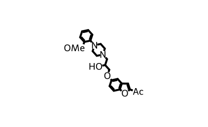 COc1ccccc1N1CCN(CC(O)COc2ccc3oc(C(C)=O)cc3c2)CC1